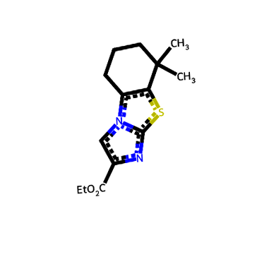 CCOC(=O)c1cn2c3c(sc2n1)C(C)(C)CCC3